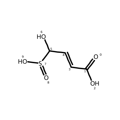 O=C(O)/C=C/C(O)S(=O)O